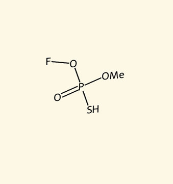 COP(=O)(S)OF